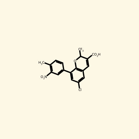 Cc1ccc(-c2cc(Cl)cc3c2OC(C(F)(F)F)C(C(=O)O)=C3)cc1[N+](=O)[O-]